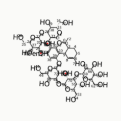 C=C(C)C1CCC(C)=C[C@H]1c1c(O[C@H]2O[C@@H](CO)[C@H](O)[C@@H](O[C@H]3O[C@@H](CO)[C@H](O)[C@@H](O)[C@@H]3O)[C@@H]2O)cc(CCCCC)cc1O[C@@H]1O[C@H](CO)[C@@H](O)[C@H](O[C@@H]2O[C@H](CO)[C@@H](O)[C@H](O[C@@H]3O[C@H](CO)[C@@H](O)[C@H](O)[C@H]3O)[C@H]2O)[C@H]1O